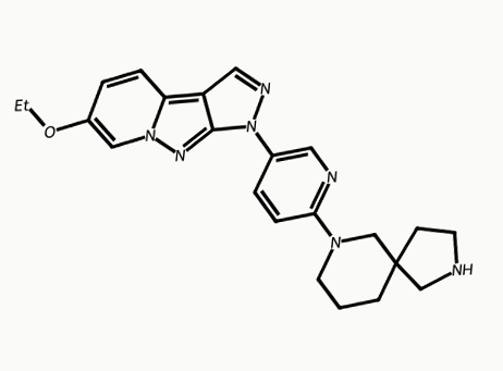 CCOc1ccc2c3cnn(-c4ccc(N5CCCC6(CCNC6)C5)nc4)c3nn2c1